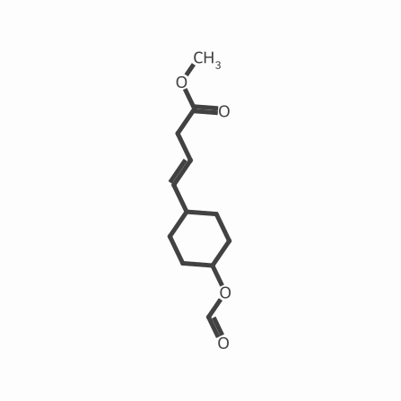 COC(=O)C/C=C/C1CCC(OC=O)CC1